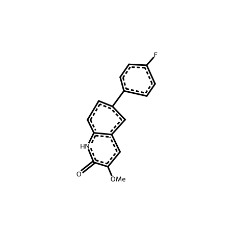 COc1cc2cc(-c3ccc(F)cc3)ccc2[nH]c1=O